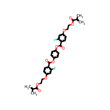 C=C(C)C(=O)OCCOc1ccc(C(=O)Oc2ccc(OC(=O)c3ccc(OCCOC(=O)C(=C)C)cc3F)cc2)c(F)c1